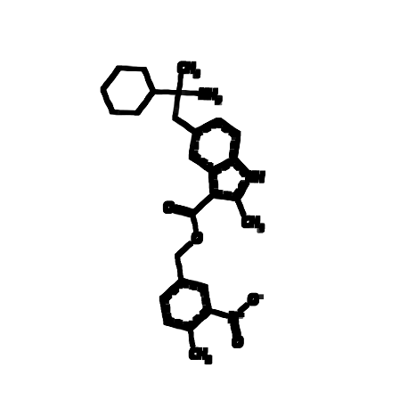 Cc1ccc(COC(=O)c2c(C)[nH]c3ccc(CC(C)(N)C4CCCCC4)cc23)cc1[N+](=O)[O-]